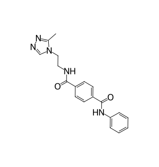 Cc1nncn1CCNC(=O)c1ccc(C(=O)Nc2ccccc2)cc1